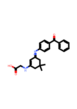 CC1(C)CC(NCC(=O)O)=C/C(=N/c2ccc(C(=O)c3ccccc3)cc2)C1